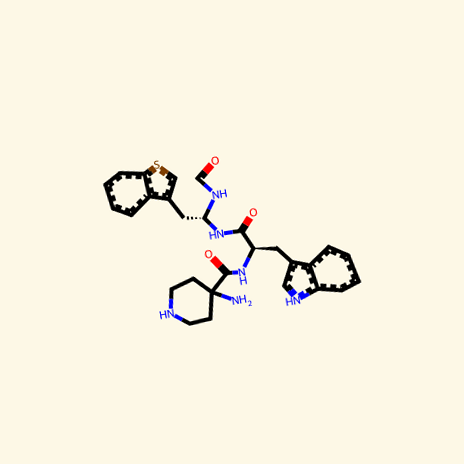 NC1(C(=O)N[C@H](Cc2c[nH]c3ccccc23)C(=O)N[C@H](Cc2csc3ccccc23)NC=O)CCNCC1